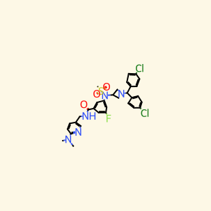 CN(C)c1ccc(CNC(=O)c2cc(F)cc(N(C3CN(C(c4ccc(Cl)cc4)c4ccc(Cl)cc4)C3)S(C)(=O)=O)c2)cn1